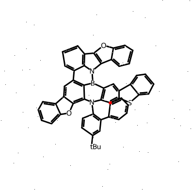 CC(C)(C)c1ccc(N2c3cc4sc5ccccc5c4cc3B3c4c(cc5c(oc6ccccc65)c42)-c2cccc4c5oc6ccccc6c5n3c24)c(-c2ccccc2)c1